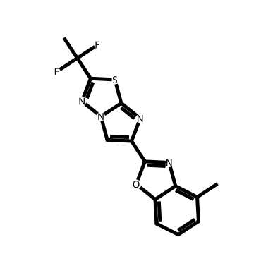 Cc1cccc2oc(-c3cn4nc(C(C)(F)F)sc4n3)nc12